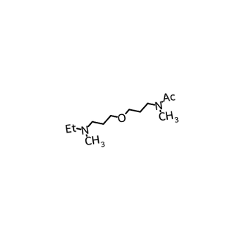 CCN(C)CCCOCCCN(C)C(C)=O